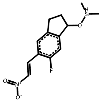 C[SiH](C)OC1CCc2cc(/C=C/[N+](=O)[O-])c(F)cc21